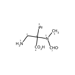 CC(C)C(CN)(C(=O)O)N(C)[C]=O